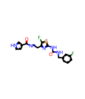 O=C(NCc1cccc(F)c1)Nc1nc(CCNC(=O)c2cc[nH]c2)c(F)s1